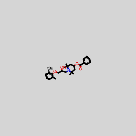 Cc1cccc(C(C)(C)C)c1OCC(O)CN1C(C)(C)CC(OC(=O)c2ccccc2)CC1(C)C